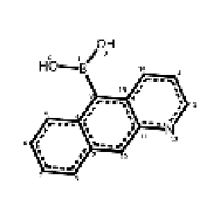 OB(O)c1c2ccccc2cc2ncccc12